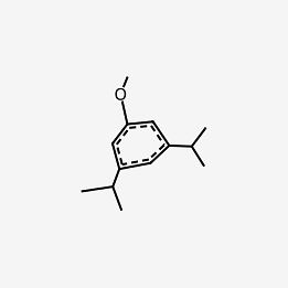 COc1cc(C(C)C)cc(C(C)C)c1